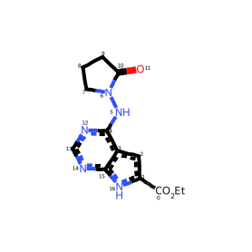 CCOC(=O)c1cc2c(NN3CCCC3=O)ncnc2[nH]1